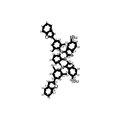 Cc1cc(-c2cc3ccccc3o2)cc(C)c1N1c2cccc3c2B(c2sc4ccc(C(C)(C)C)cc4c21)c1sc2ccc(C(C)(C)C)cc2c1N3c1c(C)cc(-c2cc3ccccc3o2)cc1C